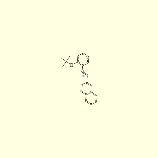 CC(C)(C)Oc1ccccc1/N=C/c1ccc2ccccc2c1